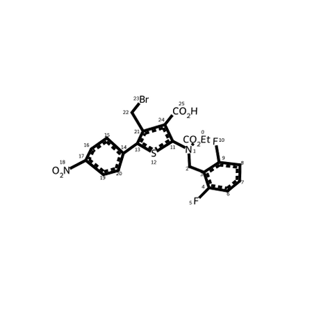 CCOC(=O)N(Cc1c(F)cccc1F)c1sc(-c2ccc([N+](=O)[O-])cc2)c(CBr)c1C(=O)O